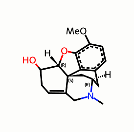 COc1ccc2c3c1O[C@H]1C(O)CC=C4CN(C)[C@H](C2)C[C@]431